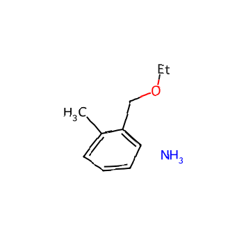 CCOCc1ccccc1C.N